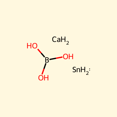 OB(O)O.[CaH2].[SnH2]